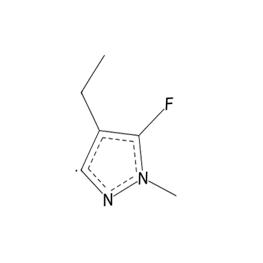 CCc1[c]nn(C)c1F